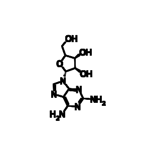 Nc1nc(N)c2ncn([C@@H]3OC(CO)[C@@H](O)[C@H]3O)c2n1